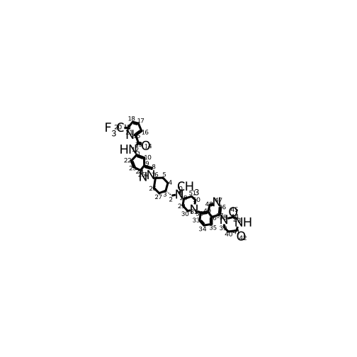 CN(C[C@H]1CC[C@H](n2cc3cc(NC(=O)c4cccc(C(F)(F)F)n4)ccc3n2)CC1)C1CCN(c2cccc3c(N4CCC(=O)NC4=O)cncc23)CC1